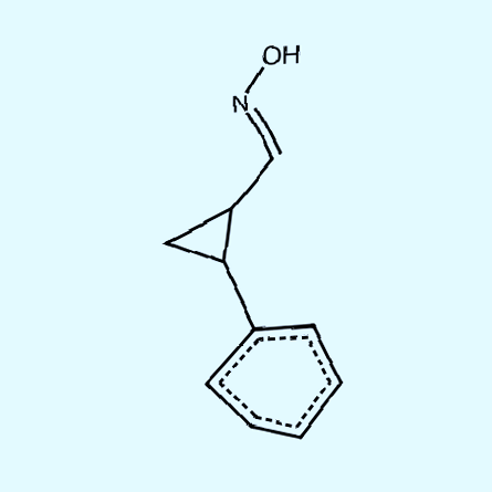 O/N=C/C1CC1c1ccccc1